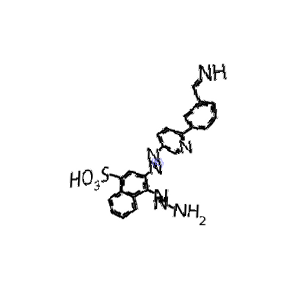 N=Cc1cccc(-c2ccc(/N=N/c3cc(S(=O)(=O)O)c4ccccc4c3N=NN)cn2)c1